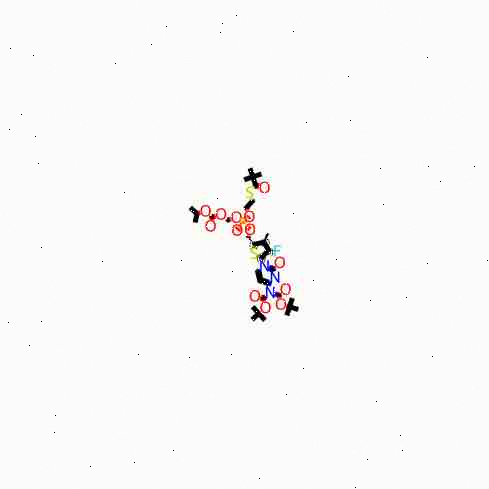 CC(C)OC(=O)OCOP(=O)(OCCSC(=O)C(C)(C)C)OC[C@H]1S[C@@H](n2ccc(N(C(=O)OC(C)(C)C)C(=O)OC(C)(C)C)nc2=O)[C@@H](F)[C@@H]1C